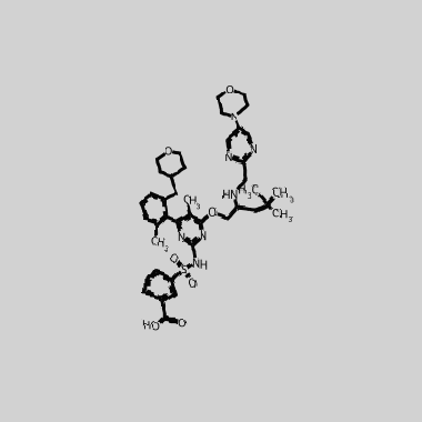 Cc1cccc(CC2CCOCC2)c1-c1nc(NS(=O)(=O)c2cccc(C(=O)O)c2)nc(OCC(CC(C)(C)C)NCc2ncc(N3CCOCC3)cn2)c1C